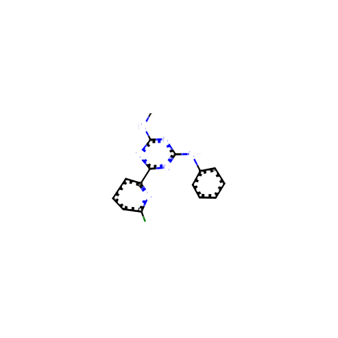 CC(C)Nc1nc(Nc2ccccc2)nc(-c2cccc(Cl)n2)n1